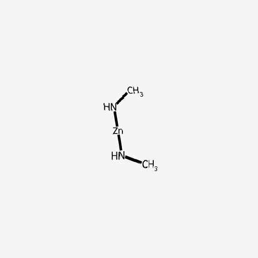 C[NH][Zn][NH]C